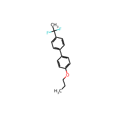 CCCOc1ccc(-c2ccc(C(C)(F)F)cc2)cc1